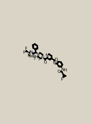 N/C(=N\N(N)C(F)F)C(c1ccccc1)N1CCN(C(=O)c2cc(-c3nc4cc(NC(=O)C5CC5F)ccc4o3)ccn2)CC1